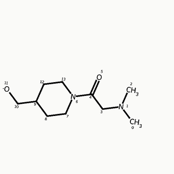 CN(C)CC(=O)N1CCC(C[O])CC1